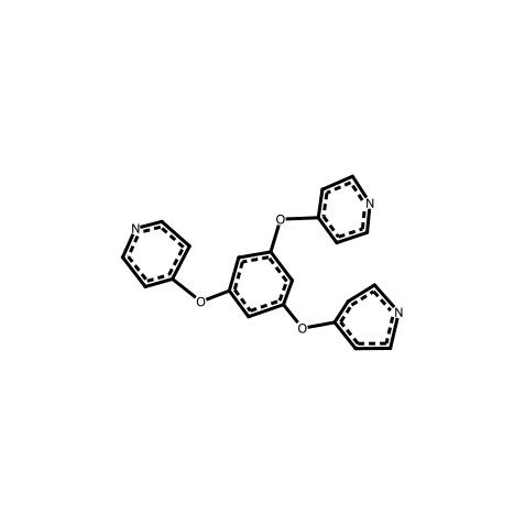 c1cc(Oc2cc(Oc3ccncc3)cc(Oc3ccncc3)c2)ccn1